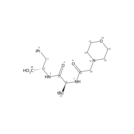 CC(C)C[C@H](NC(=O)[C@@H](NC(=O)CN1CCOCC1)C(C)(C)C)C(=O)O